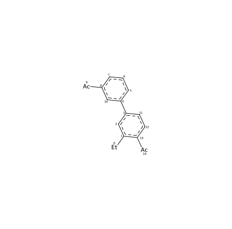 CCc1cc(-c2cccc(C(C)=O)c2)ccc1C(C)=O